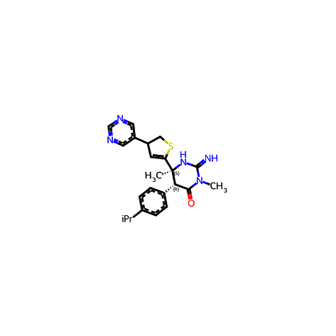 CC(C)c1ccc([C@H]2C(=O)N(C)C(=N)N[C@]2(C)C2=CC(c3cncnc3)CS2)cc1